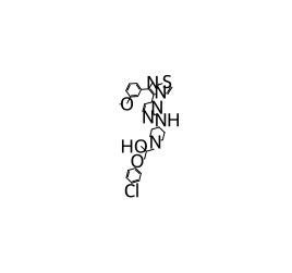 COc1cccc(-c2nc3sccn3c2-c2ccnc(NC3CCN(CC(O)COc4ccc(Cl)cc4)CC3)n2)c1